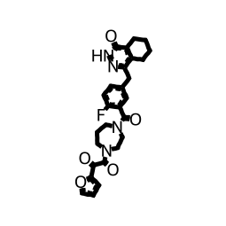 O=C(C(=O)N1CCCN(C(=O)c2cc(Cc3n[nH]c(=O)c4c3CCCC4)ccc2F)CC1)c1ccco1